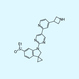 CC[S+]([O-])c1ccc2c(c1)N(c1ncc(-c3cc(C4CNC4)ccn3)cn1)CC21CC1